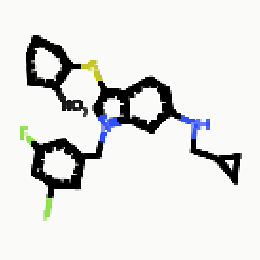 O=[N+]([O-])c1ccccc1Sc1cn(Cc2cc(F)cc(F)c2)c2cc(NCC3CC3)ccc12